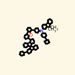 CC1(C)c2ccccc2-c2ccc(N(c3ccc(-c4ccccc4)cc3)c3ccc(-c4cccc5c4oc4c(-c6cccc7c6-c6ccccc6C76c7ccccc7-c7ccc(-c8ccccc8)cc76)cccc45)cc3)cc21